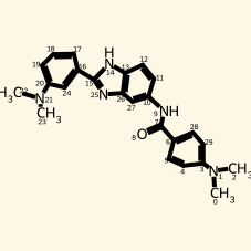 CN(C)c1ccc(C(=O)Nc2ccc3[nH]c(-c4cccc(N(C)C)c4)nc3c2)cc1